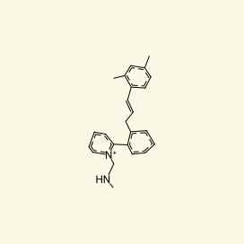 CNC[n+]1ccccc1-c1ccccc1C/C=C/c1ccc(C)cc1C